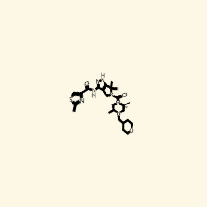 Cc1nc(C(=O)Nc2n[nH]c3c2CN(C(=O)N2CC(C)N(CC4CCOCC4)C[C@@H]2C)C3(C)C)cs1